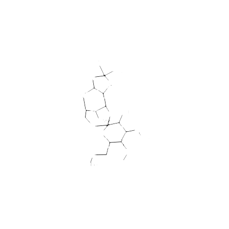 CCCCOCC1OC2(OCC3OC4OC(C)(C)OC4C(O2)C3OC)C(O)C(OCCCC)C1OCCCC